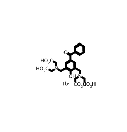 O=C(O)CN(CC(=O)O)Cc1cc(C(=O)c2ccccc2)cc(CN(CC(=O)O)CC(=O)O)c1O.[Tb]